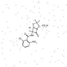 CC1(C)S[C@H]2N(C(=O)C2(C)NC(=O)c2c(Cl)cccc2[N+](=O)[O-])[C@H]1C(=O)O